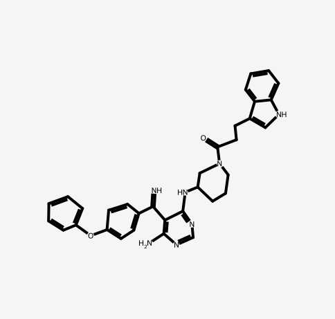 N=C(c1ccc(Oc2ccccc2)cc1)c1c(N)ncnc1NC1CCCN(C(=O)CCc2c[nH]c3ccccc23)C1